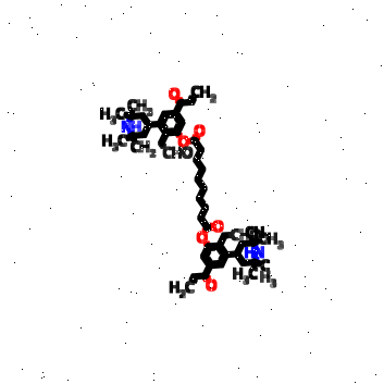 C=CC(=O)c1cc(OC(=O)CCCCCCCCC(=O)Oc2cc(C(=O)C=C)cc(C3CC(C)(C)NC(C)(C)C3)c2CC=O)c(CC=O)c(C2CC(C)(C)NC(C)(C)C2)c1